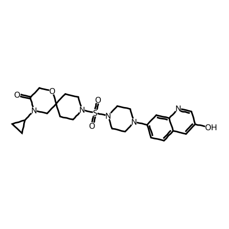 O=C1COC2(CCN(S(=O)(=O)N3CCN(c4ccc5cc(O)cnc5c4)CC3)CC2)CN1C1CC1